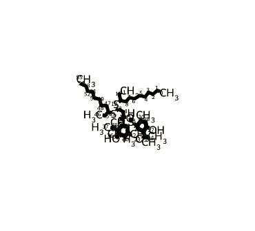 CCCCCCCCCC(CC)SC(CC(=O)O[SH](c1cc(C(C)(C)C)c(O)cc1C)c1cc(C(C)(C)C)c(O)cc1C)SC(CC)CCCCCCCCC